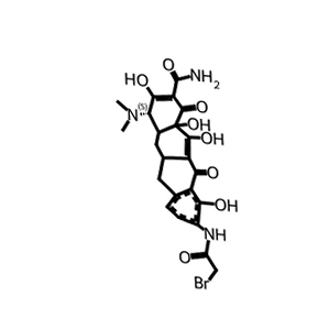 CN(C)[C@@H]1C(O)=C(C(N)=O)C(=O)C2(O)C(O)=C3C(=O)c4c(ccc(NC(=O)CBr)c4O)CC3CC12